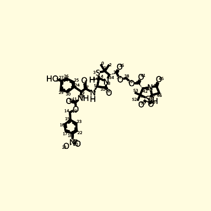 CC1(C)S[C@@H]2[C@H](NC(=O)C(NC(=O)OCc3ccc([N+](=O)[O-])cc3)c3ccc(O)cc3)C(=O)N2[C@H]1C(=O)OCOC(=O)[C@@H]1N2C(=O)C[C@H]2S(=O)(=O)C1(C)C